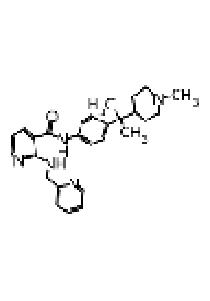 CN1CCC(C(C)(C)c2ccc(NC(=O)c3cccnc3NCc3ccccn3)cc2)CC1